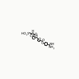 N=C(N)c1ccc(OC(=O)c2ccc(CN3CCC[C@H]3C(=O)N[C@@H](CS(=O)(=O)O)C(=O)O)o2)cc1